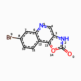 O=c1[nH]c2cnc3cc(Br)ccc3c2o1